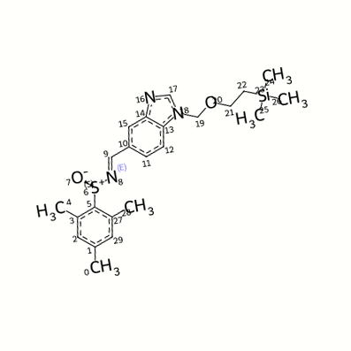 Cc1cc(C)c([S@@+]([O-])/N=C/c2ccc3c(c2)ncn3COCC[Si](C)(C)C)c(C)c1